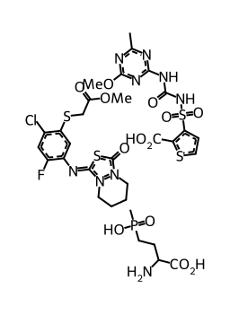 COC(=O)CSc1cc(/N=c2\sc(=O)n3n2CCCC3)c(F)cc1Cl.COc1nc(C)nc(NC(=O)NS(=O)(=O)c2ccsc2C(=O)O)n1.CP(=O)(O)CCC(N)C(=O)O